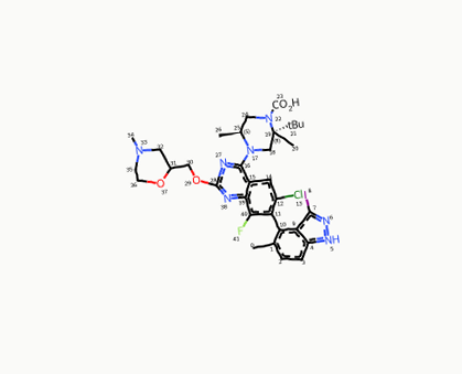 Cc1ccc2[nH]nc(I)c2c1-c1c(Cl)cc2c(N3C[C@@](C)(C(C)(C)C)N(C(=O)O)C[C@@H]3C)nc(OCC3CN(C)CCO3)nc2c1F